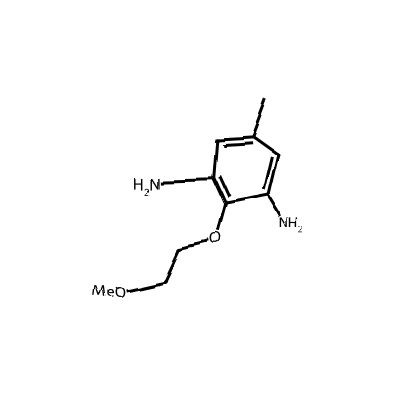 COCCOc1c(N)cc(C)cc1N